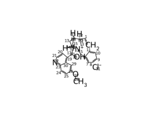 C=C[C@H]1C[N+]2(Cc3ccccc3)CC[C@H]1C[C@H]2[C@H](O)c1ccnc2ccc(OC)cc12.[Cl-]